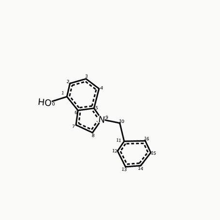 Oc1cccc2c1ccn2Cc1ccccc1